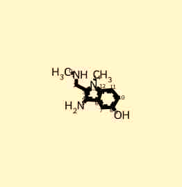 CNCc1c(N)c2cc(O)ccc2n1C